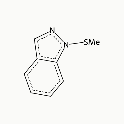 CSn1ncc2ccccc21